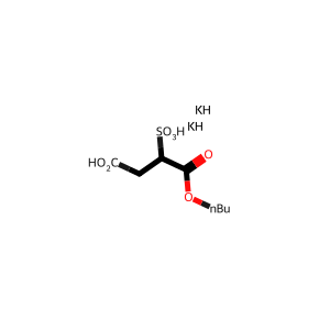 CCCCOC(=O)C(CC(=O)O)S(=O)(=O)O.[KH].[KH]